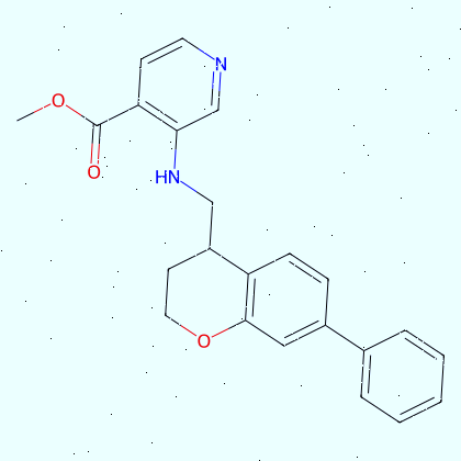 COC(=O)c1ccncc1NCC1CCOc2cc(-c3ccccc3)ccc21